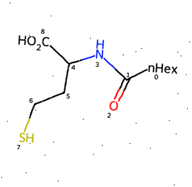 CCCCCCC(=O)NC(CCS)C(=O)O